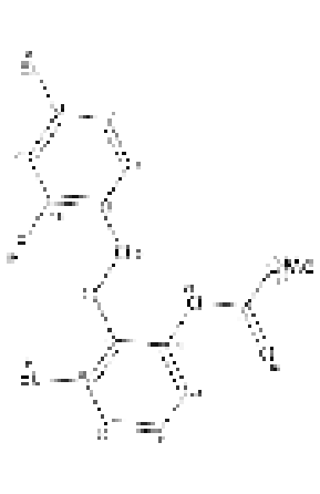 CCc1ccc(OCc2c(CC)cccc2OC(=O)OC)c(F)c1